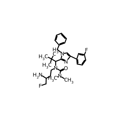 CN(C)C(=O)N(CCC(N)CF)C(c1nc(-c2cccc(F)c2)cn1Cc1ccccc1)C(C)(C)C